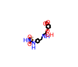 O=C1NC(=O)C(Nc2ccc(CCNC[C@H](O)COc3ccc4c(c3)OCO4)cc2)S1